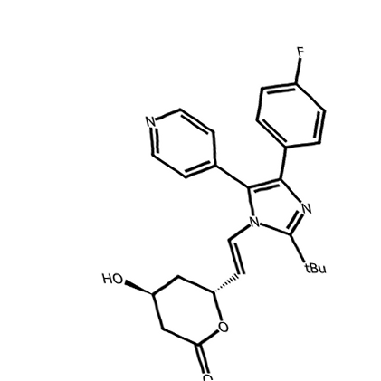 CC(C)(C)c1nc(-c2ccc(F)cc2)c(-c2ccncc2)n1/C=C/[C@H]1C[C@H](O)CC(=O)O1